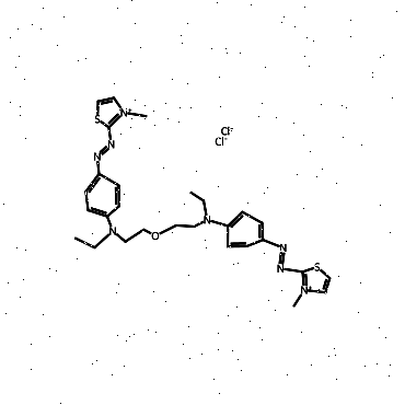 CCN(CCOCCN(CC)c1ccc(N=Nc2scc[n+]2C)cc1)c1ccc(N=Nc2scc[n+]2C)cc1.[Cl-].[Cl-]